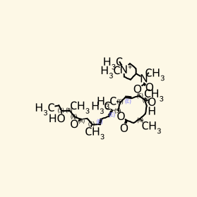 CC[C@H](O)[C@@H](C)[C@H]1O[C@@H]1C[C@H](C)/C=C/C=C(\C)[C@H]1OC(=O)C[C@H](C)CC[C@@](C)(O)[C@@H](OC(=O)N(C)C2CC[N+](C)(C)CC2)/C=C/[C@@H]1C